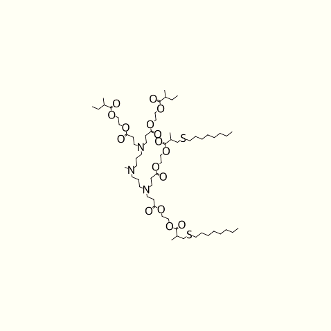 CCCCCCCCSCC(C)C(=O)OCCOC(=O)CCN(CCCN(C)CCCN(CCC(=O)OCCOC(=O)C(C)CC)CCC(=O)OCCOC(=O)C(C)CC)CCC(=O)OCCOC(=O)C(C)CSCCCCCCCC